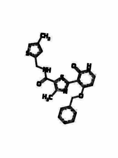 Cc1csc(CNC(=O)c2sc(-c3c(OCc4ccccc4)cc[nH]c3=O)nc2C)c1